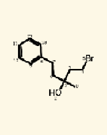 CC(O)(CCBr)CCc1ccccc1